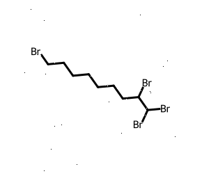 BrCCCCCCCC(Br)C(Br)Br